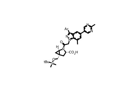 CC(=O)c1nn(CC(=O)N2[C@H](C(=O)O)C[C@@]3(CO[Si](C)(C)C(C)(C)C)C[C@@H]23)c2c(C)cc(-c3cnc(C)nc3)cc12